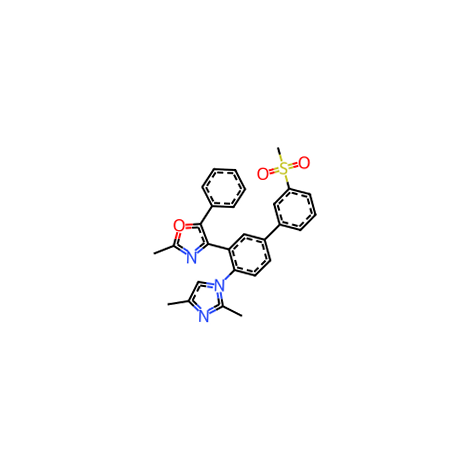 Cc1cn(-c2ccc(-c3cccc(S(C)(=O)=O)c3)cc2-c2nc(C)oc2-c2ccccc2)c(C)n1